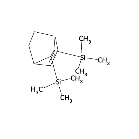 C[Si](C)(C)C1=C([Si](C)(C)C)C2C=CC1CC2